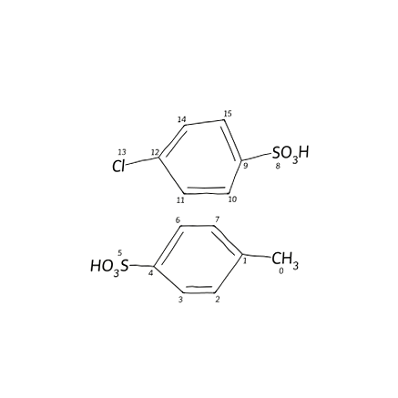 Cc1ccc(S(=O)(=O)O)cc1.O=S(=O)(O)c1ccc(Cl)cc1